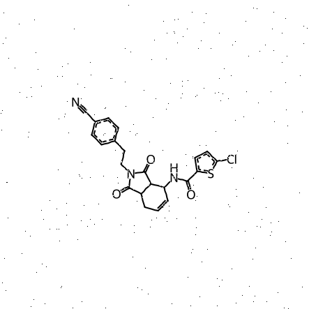 N#Cc1ccc(CCN2C(=O)C3CC=CC(NC(=O)c4ccc(Cl)s4)C3C2=O)cc1